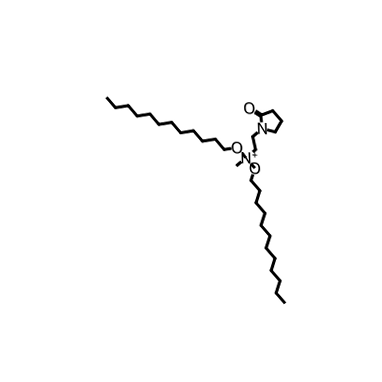 CCCCCCCCCCCCO[N+](C)(CCN1CCCC1=O)OCCCCCCCCCCCC